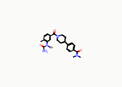 Cc1ccc(C(=O)N2CCC(c3ccc(C(=O)N(C)C)cc3)CC2)cc1N(C(N)=O)C(C)C